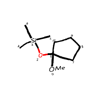 COC1(O[Si](C)(C)C)CCCC1